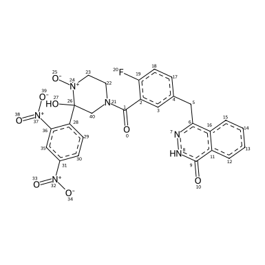 O=C(c1cc(Cc2n[nH]c(=O)c3ccccc23)ccc1F)N1CC[N+]([O-])C(O)(c2ccc([N+](=O)[O-])cc2[N+](=O)[O-])C1